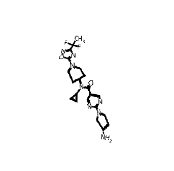 CC(F)(F)c1noc(N2CCC(N(C(=O)c3cnc(N4CC[C@@H](N)C4)nc3)C3CC3)CC2)n1